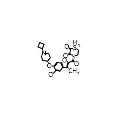 Cc1c(C(=O)N2CC[SH4]C(=O)C2=O)oc2cc(OC3CCN(C4CCC4)CC3)c(Cl)cc12